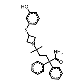 CC(C)(CCC(C(N)=O)(c1ccccc1)c1ccccc1)N1CC(Sc2cccc(O)c2)C1